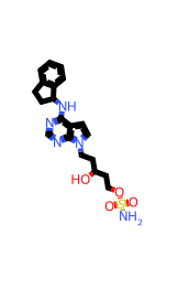 NS(=O)(=O)OCCC(O)CCn1ccc2c(NC3CCc4ccccc43)ncnc21